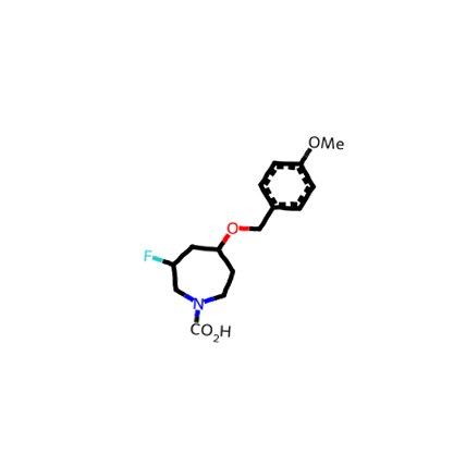 COc1ccc(COC2CCN(C(=O)O)CC(F)C2)cc1